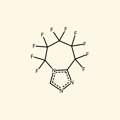 FC1(F)c2nncn2C(F)(F)C(F)(F)C(F)(F)C1(F)F